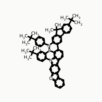 CC(C)(C)c1ccc(N2B3c4cc(C(C)(C)C)ccc4-n4c5cc6oc7ccccc7c6cc5c5ccc(c3c54)-c3cc4c(cc32)C(C)(C)c2cc(C(C)(C)C)ccc2-4)cc1